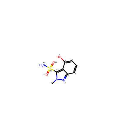 Cn1nc2cccc(O)c2c1S(N)(=O)=O